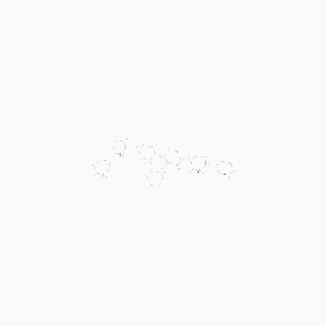 c1cncc(-c2ccc(-c3ccc4c5ccc(-c6cccc(-c7cccnc7)n6)cc5c5ccccc5c4c3)cn2)c1